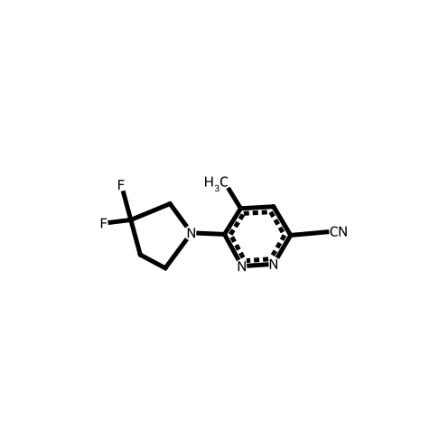 Cc1cc(C#N)nnc1N1CCC(F)(F)C1